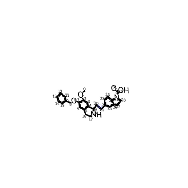 COc1cc2c(cc1OCc1ccccc1)CCNC2/C=C/c1ccc2c(ccn2C(=O)O)c1